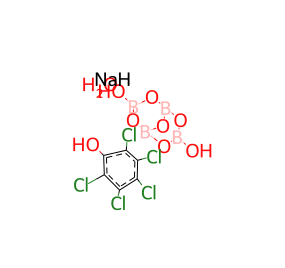 O.OB1OB2OB(O)OB(O1)O2.Oc1c(Cl)c(Cl)c(Cl)c(Cl)c1Cl.[NaH]